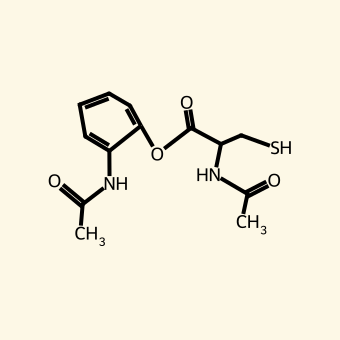 CC(=O)Nc1ccccc1OC(=O)C(CS)NC(C)=O